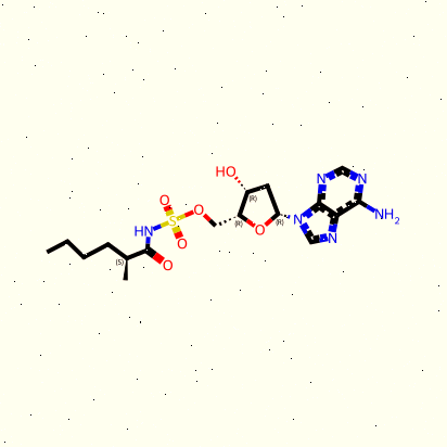 CCCC[C@H](C)C(=O)NS(=O)(=O)OC[C@H]1O[C@@H](n2cnc3c(N)ncnc32)C[C@H]1O